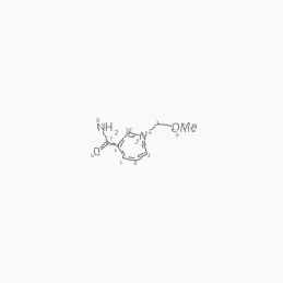 COC[n+]1cccc(C(N)=O)c1